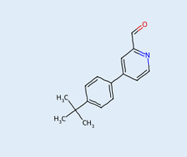 CC(C)(C)c1ccc(-c2ccnc(C=O)c2)cc1